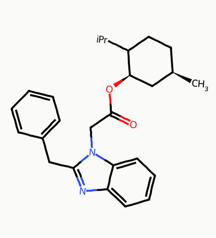 CC(C)C1CC[C@@H](C)C[C@H]1OC(=O)Cn1c(Cc2ccccc2)nc2ccccc21